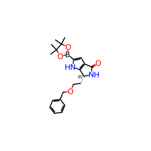 CC1(C)OB(c2cc3c([nH]2)[C@@H](CCOCc2ccccc2)NC3=O)OC1(C)C